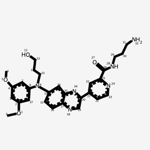 COc1cc(OC)cc(N(CCCO)c2ccc3ncc(-c4ccnc(C(=O)NCCCN)c4)nc3c2)c1